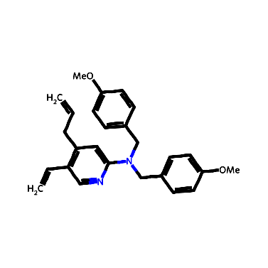 C=CCc1cc(N(Cc2ccc(OC)cc2)Cc2ccc(OC)cc2)ncc1C=C